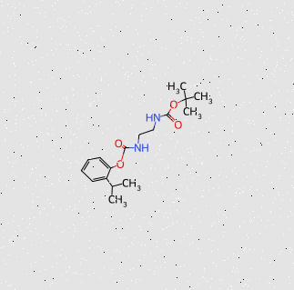 CC(C)c1ccccc1OC(=O)NCCNC(=O)OC(C)(C)C